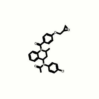 CC(=O)N(c1ccc(Cl)cc1)C1CC(C)N(C(=O)c2ccc(OCC3CO3)cc2)c2ccccc21